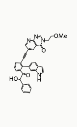 COCCn1cnc2ncc(C#Cc3cccc(C(=O)C(O)c4ccccc4)c3-c3ccc4cc[nH]c4c3)cc2c1=O